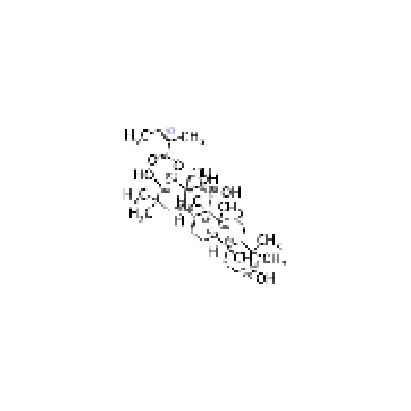 C/C=C(/C)C(=O)O[C@H]1[C@H](O)C(C)(C)C[C@@H]2C3=CC[C@@H]4[C@@]5(C)CC[C@H](O)C(C)(C)C5CC[C@@]4(C)[C@]3(C)[C@@H](O)[C@@H](O)[C@]21CO